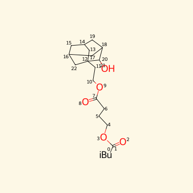 CCC(C)C(=O)OCCCC(=O)OCCC12CC3CC(CC(C3)C1O)C2